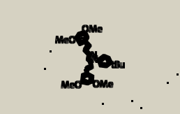 COc1cc(C=CC2=NN(c3ccc(C(C)(C)C)cc3)C(C=Cc3cc(OC)cc(OC)c3)C2)cc(OC)c1